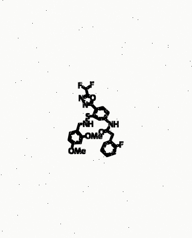 COc1ccc(CNSc2cc(NC(=O)Cc3ccccc3F)ccc2-c2nnc(C(F)F)o2)c(OC)c1